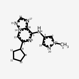 Cn1cc(Nc2nc(C3CCCC3)cn3ncnc23)cn1